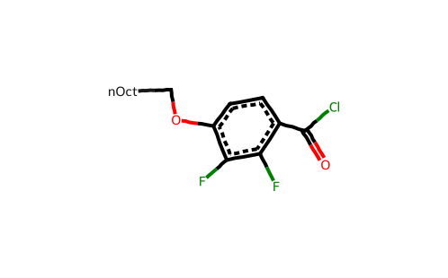 CCCCCCCCCOc1ccc(C(=O)Cl)c(F)c1F